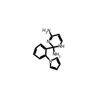 NC1=NC(N)(c2ccccc2-n2cccc2)NC=C1